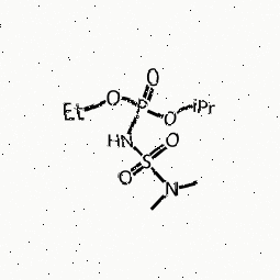 CCOP(=O)(NS(=O)(=O)N(C)C)OC(C)C